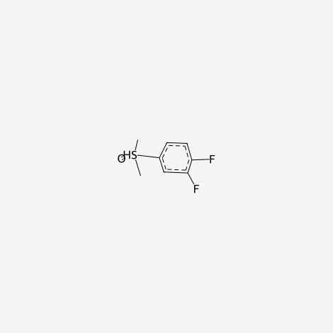 C[SH](C)(=O)c1ccc(F)c(F)c1